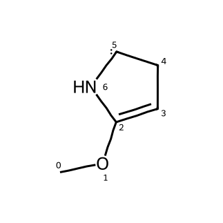 COC1=CC[C]N1